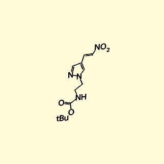 CC(C)(C)OC(=O)NCCn1cc(/C=C/[N+](=O)[O-])cn1